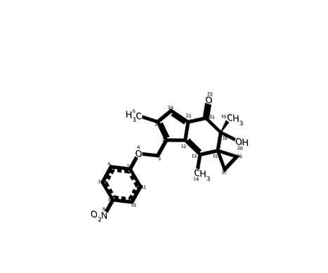 CC1=C(COc2ccc([N+](=O)[O-])cc2)C2=C(C)C3(CC3)[C@@](C)(O)C(=O)C2=C1